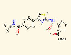 COC(=O)[C@@H]1CCC[C@H]1C(=O)Nc1nc(-c2ccc(C(=O)NC3CC3)cc2)cs1